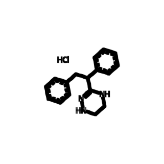 Cl.c1ccc(CC(C2=NNCCN2)c2ccccc2)cc1